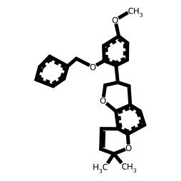 COc1ccc(C2COc3c(ccc4c3C=CC(C)(C)O4)C2)c(OCc2ccccc2)c1